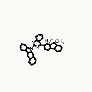 CC1(C)c2ccccc2-c2ccc(-c3nc(-n4c5ccccc5c5cc6ccccc6cc54)nc4ccccc34)cc21